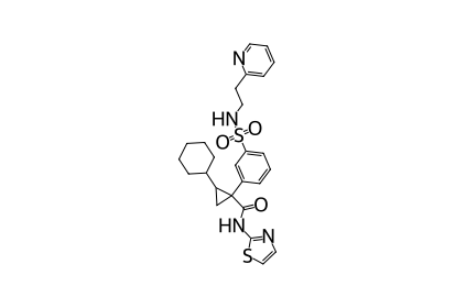 O=C(Nc1nccs1)C1(c2cccc(S(=O)(=O)NCCc3ccccn3)c2)CC1C1CCCCC1